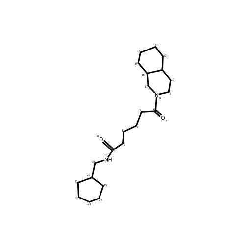 O=C(CCCCC(=O)N1CCC2CCCCC2C1)NCC1CCCCC1